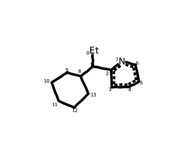 CCC(c1ccccn1)C1CCCCC1